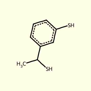 CC(S)c1cccc(S)c1